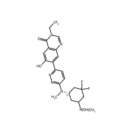 CN(O)C1C[C@H](N(C)c2ccc(-c3cc4ncn(CC(F)(F)F)c(=O)c4cc3O)nn2)CC(F)(F)C1